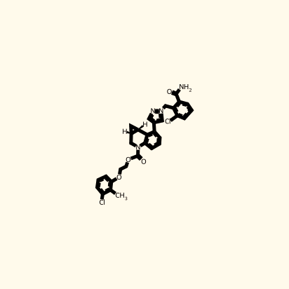 Cc1c(Cl)cccc1OCCOC(=O)N1C[C@@H]2C[C@@H]2c2c(-c3cnn(Cc4c(Cl)cccc4C(N)=O)c3)cccc21